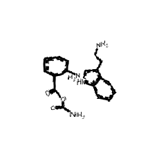 NC(=O)OC(=O)c1ccccc1N.NCCc1c[nH]c2ccccc12